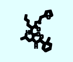 CCCCC(NC(=O)C(CC(C)C)NC(=O)c1ccccc1C)C(=O)CSCc1ccco1